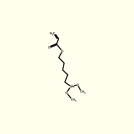 C=CC(=O)OCCCCC[SiH](OC)OC